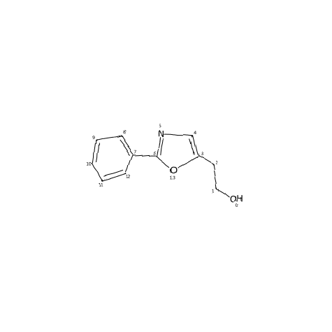 OCCc1cnc(-c2ccccc2)o1